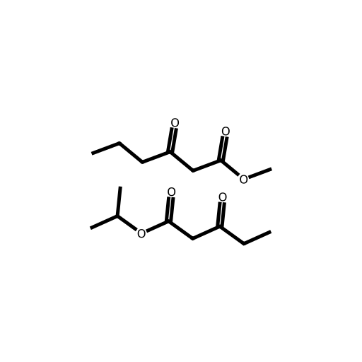 CCC(=O)CC(=O)OC(C)C.CCCC(=O)CC(=O)OC